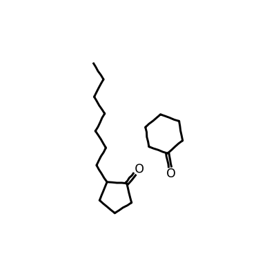 CCCCCCCC1CCCC1=O.O=C1CCCCC1